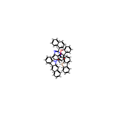 CC1C/C=C(c2c(-n3c4ccccc4c4cc5ccccc5cc43)ccc3c2oc2ccccc23)/N=C(c2cccc3ccccc23)\N=C/1c1cccc2c1sc1ccccc12